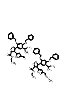 CCNC(=O)c1noc(-c2cc(C(C)C)c(OCc3ccccc3)cc2OCc2ccccc2)c1-c1cc(/C=N/OC)no1.CCNC(=O)c1noc(-c2cc(C(C)C)c(OCc3ccccc3)cc2OCc2ccccc2)c1-c1cc(C=O)no1